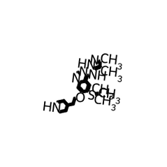 Cc1n[nH]c(Nc2ncnc3cc(OCCC4CCNCC4)c(SC(C)(C)C)cc23)c1C